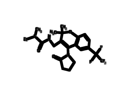 CCN(C)C(=O)NCC1=C(N2CCCC2=O)c2cc(C(F)(F)C(F)(F)F)ccc2OC1(C)C